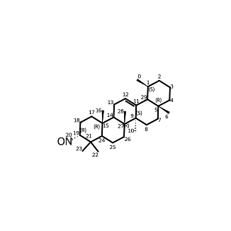 C[C@H]1CCC[C@]2(C)CC[C@]3(C)C(=CCC4[C@@]5(C)CC[C@@H](N=O)C(C)(C)C5CC[C@]43C)C12